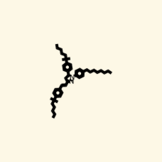 CCCCCCCCc1ccc(N2N=C(C=Cc3ccc(C(C)(C)CCCCC)cc3)CC2c2ccc(C(C)(C)CCCCC)cc2)cc1